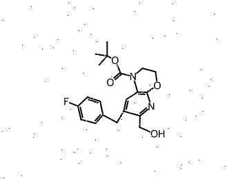 CC(C)(C)OC(=O)N1CCOc2nc(CO)c(Cc3ccc(F)cc3)cc21